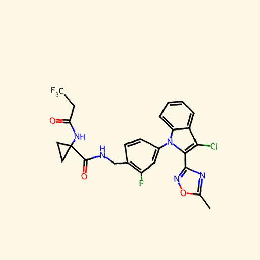 Cc1nc(-c2c(Cl)c3ccccc3n2-c2ccc(CNC(=O)C3(NC(=O)CC(F)(F)F)CC3)c(F)c2)no1